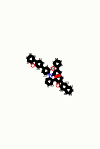 c1ccc(N(c2ccc(-c3ccc4c(c3)oc3ccccc34)cc2)c2cccc3c2oc2ccccc23)c(-c2cccc3c2oc2cc4ccccc4cc23)c1